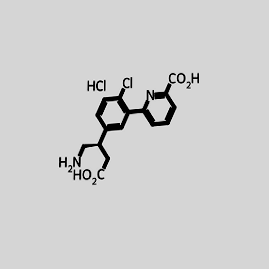 Cl.NC[C@H](CC(=O)O)c1ccc(Cl)c(-c2cccc(C(=O)O)n2)c1